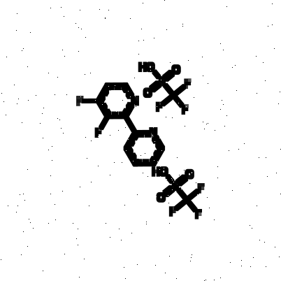 Fc1ccnc(-c2ccccn2)c1F.O=S(=O)(O)C(F)(F)F.O=S(=O)(O)C(F)(F)F